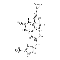 CC(F)(F)[C@@]1(C#CC2CC2)NC(=O)Nc2cc(Cn3cnc([N+](=O)[O-])n3)ccc21